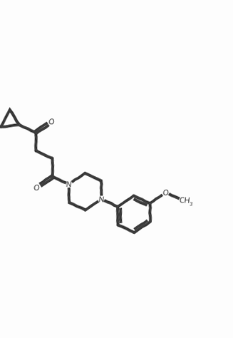 COc1cccc(N2CCN(C(=O)CCC(=O)C3CC3)CC2)c1